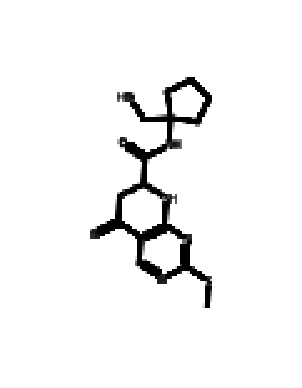 CSc1ncc2c(n1)NC(C(=O)NC1(CO)CCCC1)CC2=O